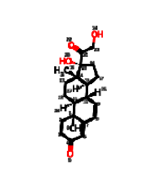 C[C@]12CCC(=O)C=C1C=C[C@@H]1[C@@H]2CC[C@@]2(C)[C@H]1CC[C@]2(O)C(=O)CO